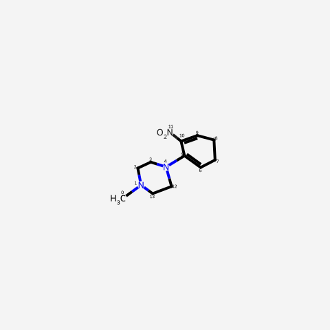 CN1CCN(C2=CC[CH]C=C2[N+](=O)[O-])CC1